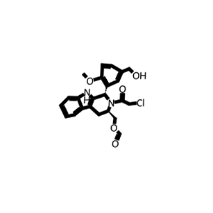 COc1ccc(CO)cc1[C@H]1c2[nH]c3ccccc3c2C[C@H](COC=O)N1C(=O)CCl